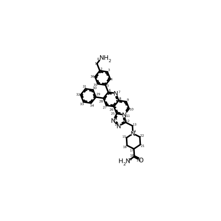 NCc1ccc(-c2nc3ccn4c(CN5CCC(C(N)=O)CC5)nnc4c3cc2-c2ccccc2)cc1